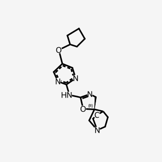 c1nc(NC2=NC[C@@]3(CN4CCC3CC4)O2)ncc1OC1CCCC1